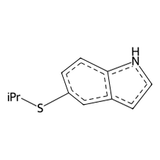 CC(C)Sc1ccc2[nH]ccc2c1